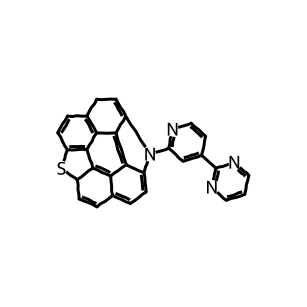 C1=CC2Sc3ccc4c5c3c2c2c1ccc1c2c5c(n1-c1cc(-c2ncccn2)ccn1)=CC4